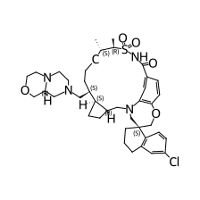 C[C@@H]1[C@@H](C)CCC[C@H](CN2CCN3CCOC[C@H]3C2)[C@@H]2CC[C@H]2CN2C[C@@]3(CCCc4cc(Cl)ccc43)COc3ccc(cc32)C(=O)NS1(=O)=O